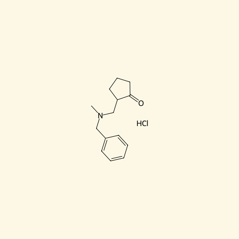 CN(Cc1ccccc1)CC1CCCC1=O.Cl